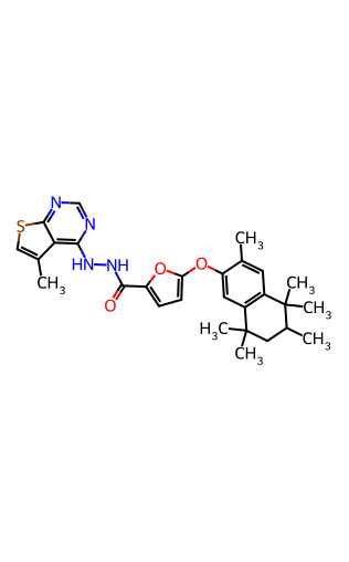 Cc1cc2c(cc1Oc1ccc(C(=O)NNc3ncnc4scc(C)c34)o1)C(C)(C)CC(C)C2(C)C